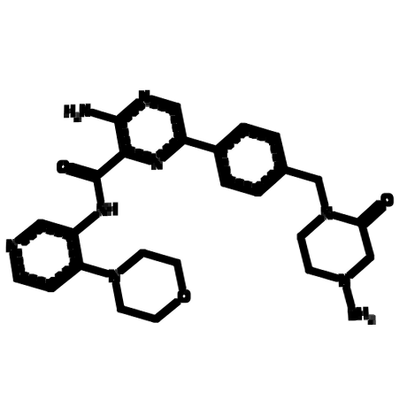 BN1CCN(Cc2ccc(-c3cnc(N)c(C(=O)Nc4cnccc4N4CCOCC4)n3)cc2)C(=O)C1